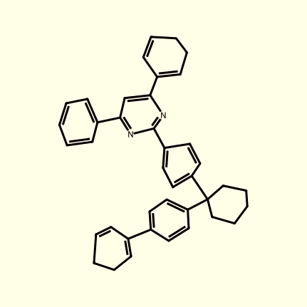 C1=CC(c2ccc(C3(c4ccc(-c5nc(C6=CCCC=C6)cc(-c6ccccc6)n5)cc4)CCCCC3)cc2)=CCC1